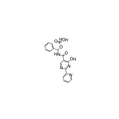 O=C(NC(O[PH](=O)O)c1ccccc1)c1cnc(-c2ccccn2)nc1O